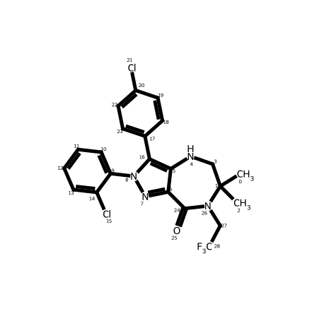 CC1(C)CNc2c(nn(-c3ccccc3Cl)c2-c2ccc(Cl)cc2)C(=O)N1CC(F)(F)F